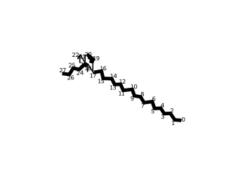 CCCCCCCCCCCCCCCCCCn1cc[n+](C)c1CCCC